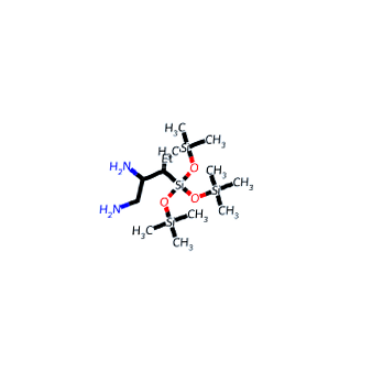 CCC(C(N)CN)[Si](O[Si](C)(C)C)(O[Si](C)(C)C)O[Si](C)(C)C